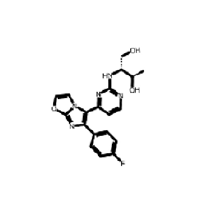 C[C@@H](O)[C@@H](CO)Nc1nccc(-c2c(-c3ccc(F)cc3)nc3occn23)n1